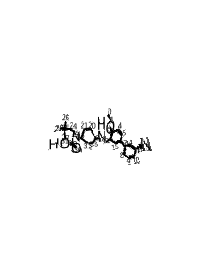 CCOc1ccc(-c2cccc(C#N)c2)cc1CNC1CCC(N(CC(C)(C)C)C(=O)O)CC1